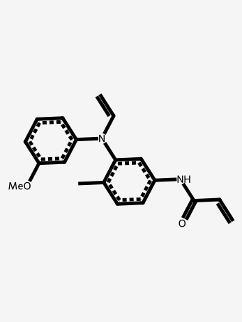 C=CC(=O)Nc1ccc(C)c(N(C=C)c2cccc(OC)c2)c1